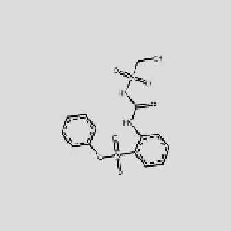 CCS(=O)(=O)NC(=O)Nc1ccccc1S(=O)(=O)Oc1ccccc1